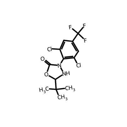 CC(C)(C)C1NN(c2c(Cl)cc(C(F)(F)F)cc2Cl)C(=O)O1